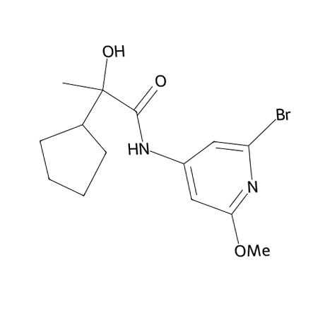 COc1cc(NC(=O)C(C)(O)C2CCCC2)cc(Br)n1